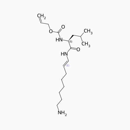 C=CCOC(=O)N[C@@H](CC(C)C)C(=O)N/C=C/CCCCCCN